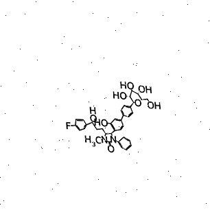 CN1C(=O)N(c2ccccc2)[C@H](c2ccc(-c3ccc([C@@H]4O[C@H](CO)[C@@H](O)[C@H](O)[C@H]4O)cc3)cc2O)[C@@H]1CC[C@H](O)c1ccc(F)cc1